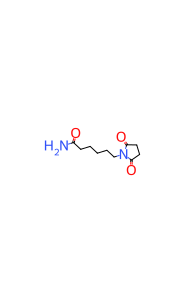 NC(=O)CCCCCN1C(=O)CCC1=O